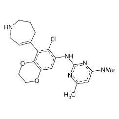 CNc1cc(C)nc(Nc2cc3c(c(C4=CCNCCC4)c2Cl)OCCO3)n1